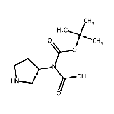 CC(C)(C)OC(=O)N(C(=O)O)C1CCNC1